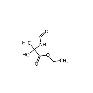 CCOC(=O)C(C)(O)N[C]=O